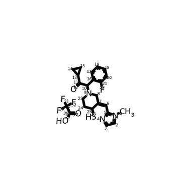 Cn1ccnc1C=C1CN(C(C(=O)C2CC2)c2ccccc2F)CCC1S.O=C(O)C(F)(F)F